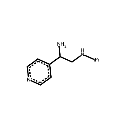 CC(C)NCC(N)c1ccncc1